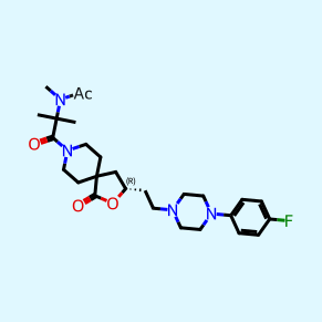 CC(=O)N(C)C(C)(C)C(=O)N1CCC2(CC1)C[C@H](CCN1CCN(c3ccc(F)cc3)CC1)OC2=O